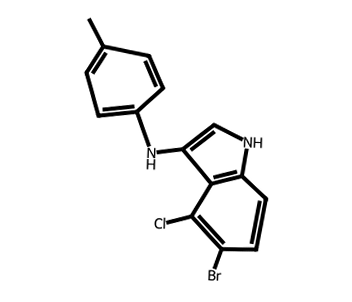 Cc1ccc(Nc2c[nH]c3ccc(Br)c(Cl)c23)cc1